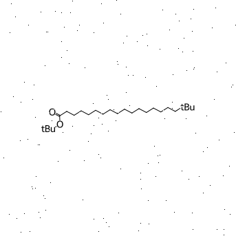 CC(C)(C)CCCCCCCCCCCCCCCCC(=O)OC(C)(C)C